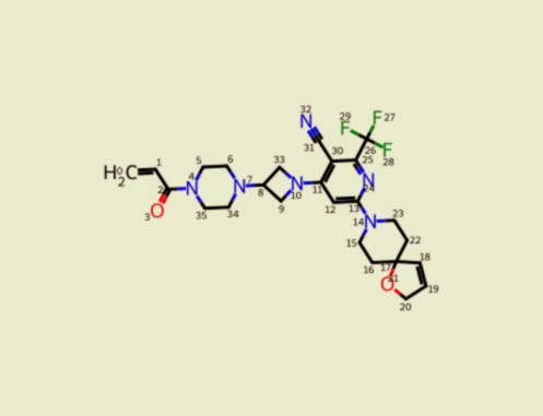 C=CC(=O)N1CCN(C2CN(c3cc(N4CCC5(C=CCO5)CC4)nc(C(F)(F)F)c3C#N)C2)CC1